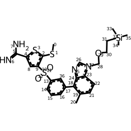 CSc1sc(C(=N)N)cc1S(=O)(=O)c1cccc(-c2c(C)ccc3c2ncn3COCC[Si](C)(C)C)c1